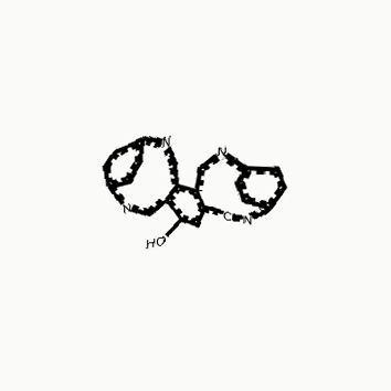 Oc1cc2cnc3ccc(cc3)ncc2c2cnc3ccc(cc3)ncc12